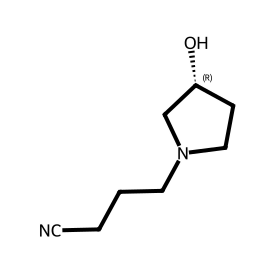 N#CCCCN1CC[C@@H](O)C1